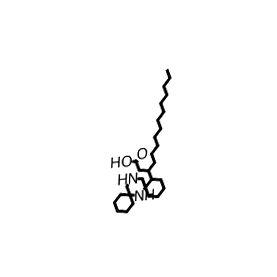 CCCCCCCCCCCCC(CC(=O)O)C1CCCCC12CNCC1(CCCCC1)N2